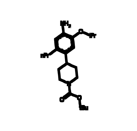 CCCc1cc(N)c(OC(C)C)cc1C1CCN(C(=O)OC(C)(C)C)CC1